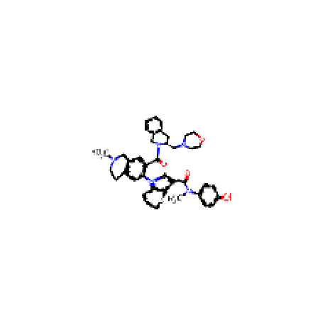 CN(C(=O)c1cn(-c2cc3c(cc2C(=O)N2Cc4ccccc4C[C@H]2CN2CCOCC2)CN(C(=O)O)CC3)c2ccccc12)c1ccc(O)cc1